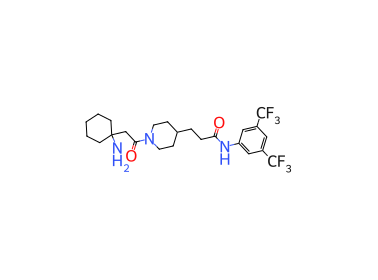 NC1(CC(=O)N2CCC(CCC(=O)Nc3cc(C(F)(F)F)cc(C(F)(F)F)c3)CC2)CCCCC1